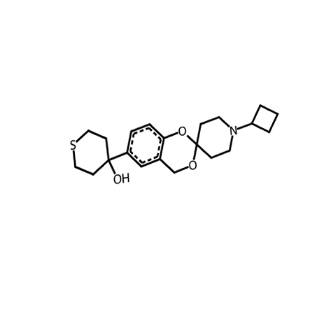 OC1(c2ccc3c(c2)COC2(CCN(C4CCC4)CC2)O3)CCSCC1